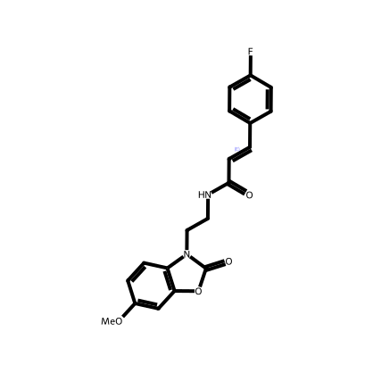 COc1ccc2c(c1)oc(=O)n2CCNC(=O)/C=C/c1ccc(F)cc1